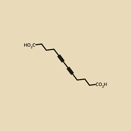 O=C(O)CCCC#CC#CCCCC(=O)O